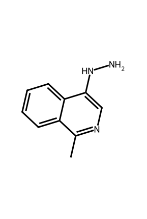 Cc1ncc(NN)c2ccccc12